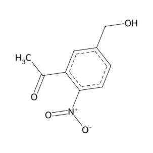 CC(=O)c1cc(CO)ccc1[N+](=O)[O-]